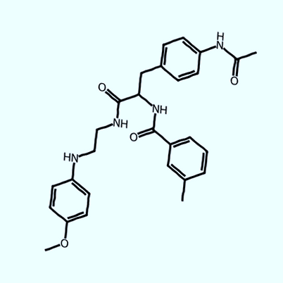 COc1ccc(NCCNC(=O)C(Cc2ccc(NC(C)=O)cc2)NC(=O)c2cccc(C)c2)cc1